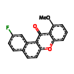 COc1cccc2oc3ccc4ccc(F)cc4c3c(=O)c12